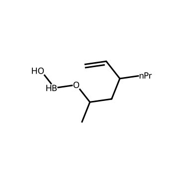 C=CC(CCC)CC(C)OBO